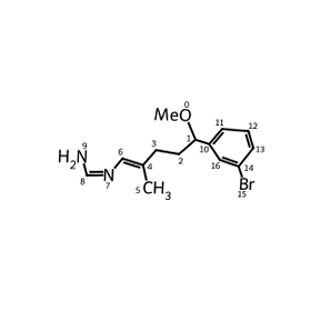 COC(CC/C(C)=C/N=C\N)c1cccc(Br)c1